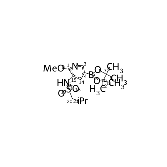 COc1ncc(B2OC(C)(C)C(C)(C)O2)cc1NS(=O)(=O)CC(C)C